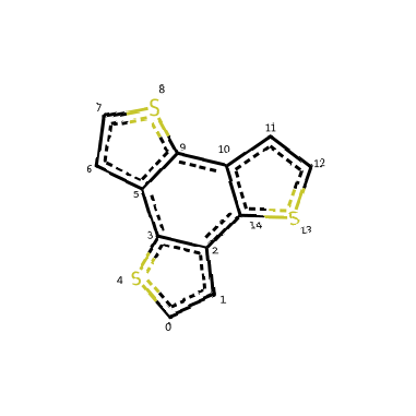 c1cc2c(s1)c1ccsc1c1ccsc21